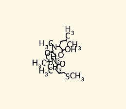 CSCC[C@H](C)C(=O)N(CC(=O)N(C)[C@@H](CC(C)C)C(=O)O)C(C)(C)C